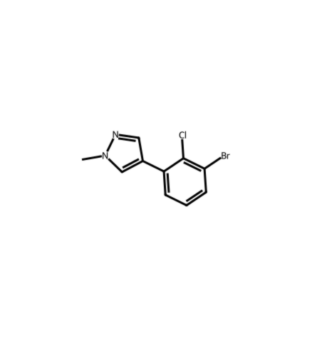 Cn1cc(-c2cccc(Br)c2Cl)cn1